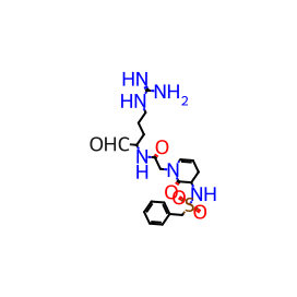 N=C(N)NCCCC(C=O)NC(=O)CN1C=CCC(NS(=O)(=O)Cc2ccccc2)C1=O